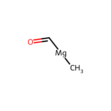 [CH3][Mg][CH]=O